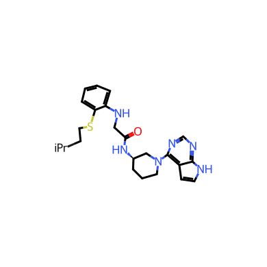 CC(C)CCSc1ccccc1NCC(=O)N[C@@H]1CCCN(c2ncnc3[nH]ccc23)C1